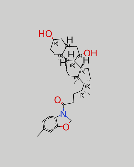 Cc1ccc2c(c1)OCN2C(=O)CC[C@@H](C)[C@H]1CC[C@H]2[C@@H]3[C@@H](O)C[C@@H]4C[C@H](O)CC[C@]4(C)[C@H]3CC[C@]12C